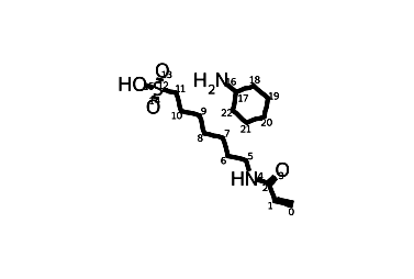 C=CC(=O)NCCCCCCCS(=O)(=O)O.NC1CCCCC1